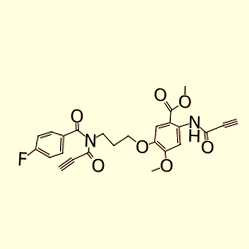 C#CC(=O)Nc1cc(OC)c(OCCCN(C(=O)C#C)C(=O)c2ccc(F)cc2)cc1C(=O)OC